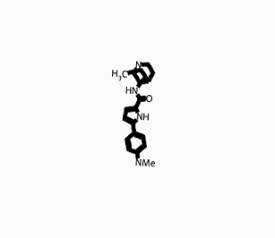 CNc1ccc(-c2ccc(C(=O)NC3C4CCN(CC4)C3C)[nH]2)cc1